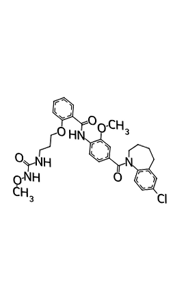 CONC(=O)NCCCOc1ccccc1C(=O)Nc1ccc(C(=O)N2CCCCc3cc(Cl)ccc32)cc1OC